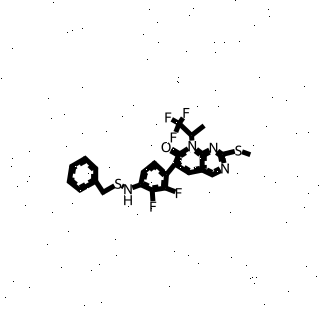 CSc1ncc2cc(-c3ccc(NSCc4ccccc4)c(F)c3F)c(=O)n(C(C)C(F)(F)F)c2n1